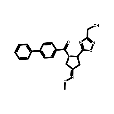 CON=C1CC(c2nc(CO)no2)N(C(=O)c2ccc(-c3ccccc3)cc2)C1